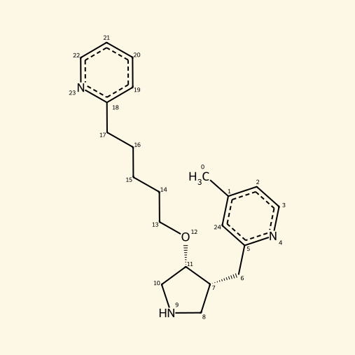 Cc1ccnc(C[C@@H]2CNC[C@@H]2OCCCCCc2ccccn2)c1